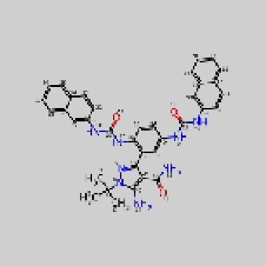 CC(C)(C)n1nc(-c2cc(NC(=O)Nc3ccc4ccccc4c3)ccc2NC(=O)Nc2ccc3ccccc3c2)c(C(N)=O)c1N